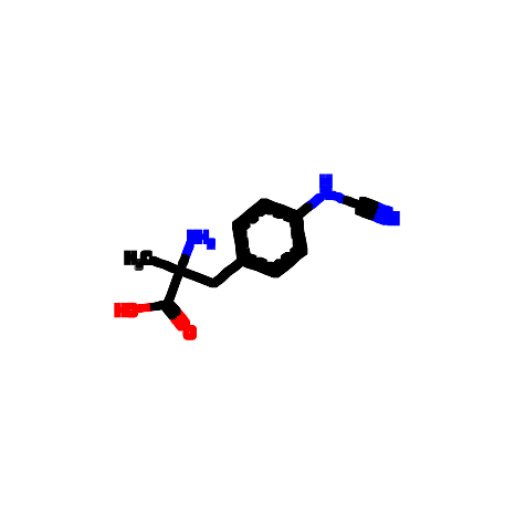 CC(N)(Cc1ccc(NC#N)cc1)C(=O)O